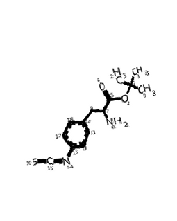 CC(C)(C)OC(=O)C(N)Cc1ccc(N=C=S)cc1